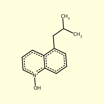 CC(C)Cc1cccc2c1ccc[n+]2O